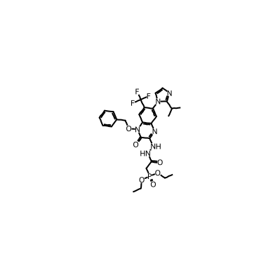 CCOP(=O)(CC(=O)NNc1nc2cc(-n3ccnc3C(C)C)c(C(F)(F)F)cc2n(OCc2ccccc2)c1=O)OCC